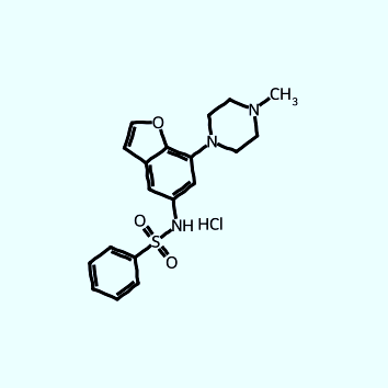 CN1CCN(c2cc(NS(=O)(=O)c3ccccc3)cc3ccoc23)CC1.Cl